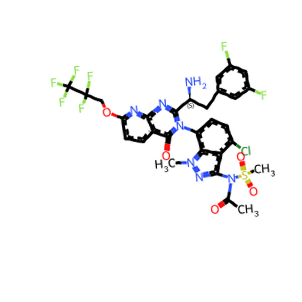 CC(=O)N(c1nn(C)c2c(-n3c([C@@H](N)Cc4cc(F)cc(F)c4)nc4nc(OCC(F)(F)C(F)(F)F)ccc4c3=O)ccc(Cl)c12)S(C)(=O)=O